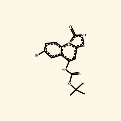 CC(C)(C)OC(=O)Nc1cc2n[nH]c(=O)n2c2ccc(Br)cc12